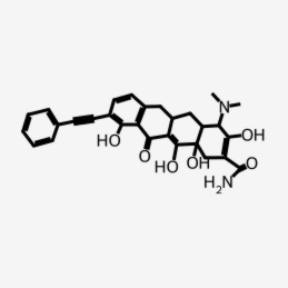 CN(C)C1C(O)=C(C(N)=O)CC2(O)C(O)=C3C(=O)c4c(ccc(C#Cc5ccccc5)c4O)CC3CC12